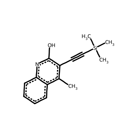 Cc1c(C#C[Si](C)(C)C)c(O)nc2ccccc12